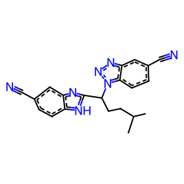 CC(C)CCC(c1nc2cc(C#N)ccc2[nH]1)n1nnc2cc(C#N)ccc21